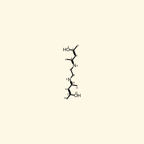 C/C(O)=C/C(C)=N/CC/N=C(C)/C=C(/C)O